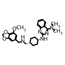 COc1cc(CNC[C@H]2CC[C@@H](Nc3nc(N(C)C)c4ccccc4n3)CC2)cc2c1OCO2